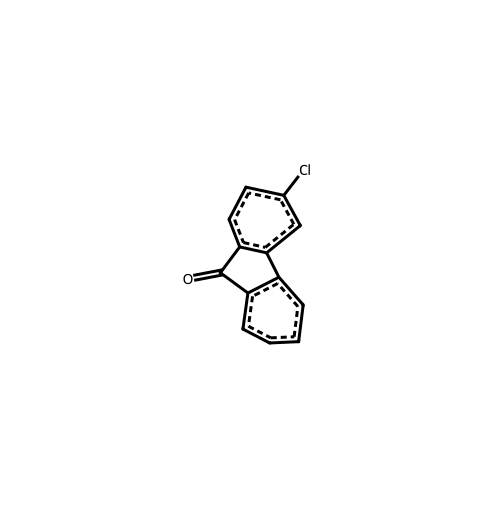 O=C1c2ccccc2-c2cc(Cl)ccc21